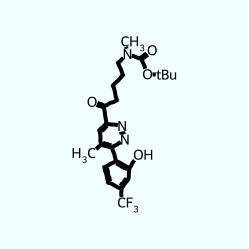 Cc1cc(C(=O)CCCCN(C)C(=O)OC(C)(C)C)nnc1-c1ccc(C(F)(F)F)cc1O